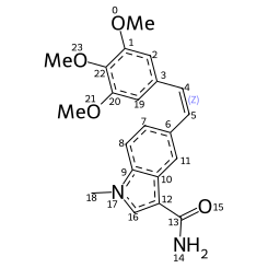 COc1cc(/C=C\c2ccc3c(c2)c(C(N)=O)cn3C)cc(OC)c1OC